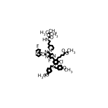 COC(=O)CCCCc1c(Cl)cc(N(Cc2ccc(OC)cc2)Cc2ccc(OC)cc2)cc1-c1ncc2c(N3CCCC(CCNC(=O)OC(C)(C)C)C3)nc(OC[C@@]34CCCN3C[C@H](F)C4)nc2c1F